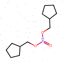 O=[PH](OCC1CCCC1)OCC1CCCC1